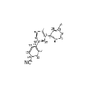 Cc1cccc(-c2cccc(-c3ccc(C#N)cc3)c2)c1